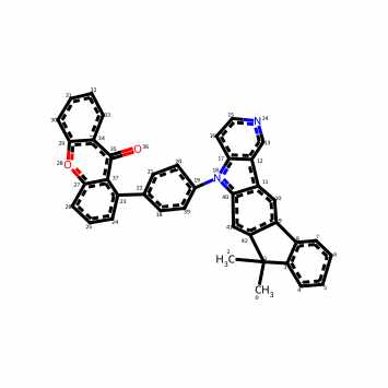 CC1(C)c2ccccc2-c2cc3c4cnccc4n(-c4ccc(-c5cccc6oc7ccccc7c(=O)c56)cc4)c3cc21